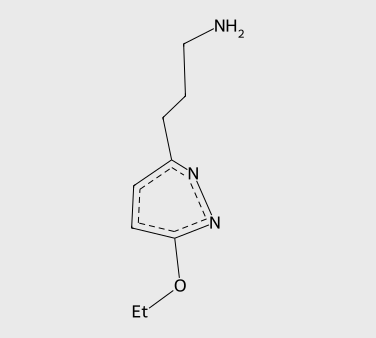 CCOc1ccc(CCCN)nn1